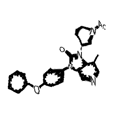 CC(=O)N1CC[C@@H](n2c(=O)n(-c3ccc(Oc4ccccc4)cc3)c3cncc(C)c32)C1